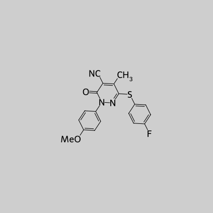 COc1ccc(-n2nc(Sc3ccc(F)cc3)c(C)c(C#N)c2=O)cc1